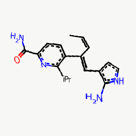 C/C=C\C(=C/c1cc[nH]c1N)c1ccc(C(N)=O)nc1C(C)C